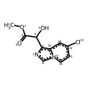 COC(=O)C(O)c1ncn2ccc(Cl)cc12